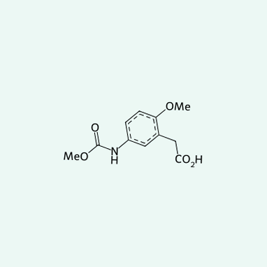 COC(=O)Nc1ccc(OC)c(CC(=O)O)c1